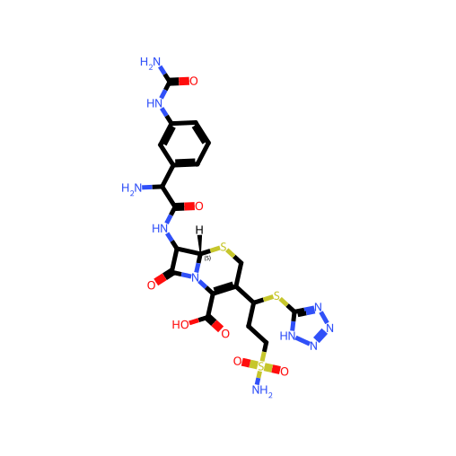 NC(=O)Nc1cccc(C(N)C(=O)NC2C(=O)N3C(C(=O)O)=C(C(CCS(N)(=O)=O)Sc4nnn[nH]4)CS[C@@H]23)c1